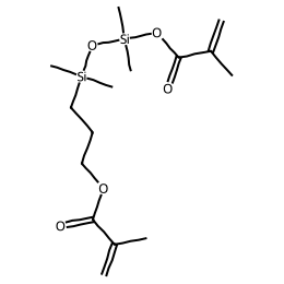 C=C(C)C(=O)OCCC[Si](C)(C)O[Si](C)(C)OC(=O)C(=C)C